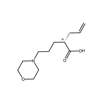 C=CC[C@@H](CCCN1CCOCC1)C(=O)O